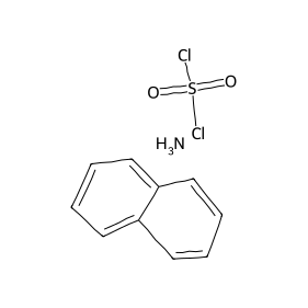 N.O=S(=O)(Cl)Cl.c1ccc2ccccc2c1